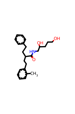 Cc1ccccc1CCC(CCc1ccccc1)C(=O)NCC(O)CCCO